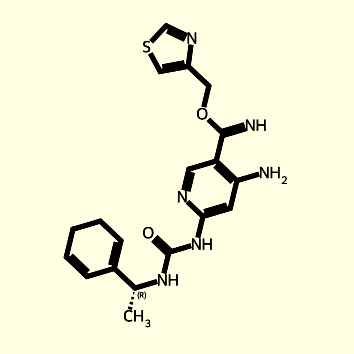 C[C@@H](NC(=O)Nc1cc(N)c(C(=N)OCc2cscn2)cn1)C1=CCCC=C1